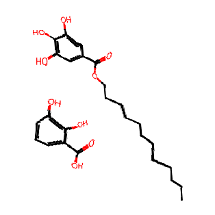 CCCCCCCCCCCCOC(=O)c1cc(O)c(O)c(O)c1.O=C(O)c1cccc(O)c1O